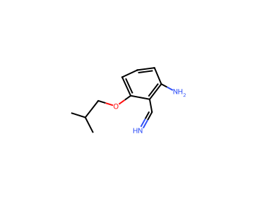 CC(C)COc1cccc(N)c1C=N